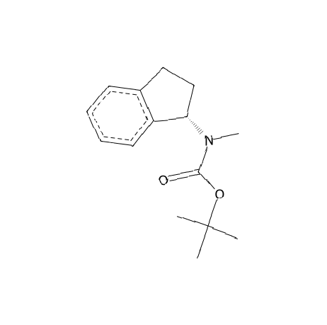 CN(C(=O)OC(C)(C)C)[C@H]1CCc2ccccc21